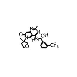 Cc1nc(N[C@H](O)c2cccc(C(F)(F)F)c2)c2cn([C@@]3(C)CCOC3)c(=O)cc2n1